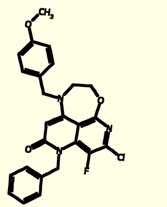 COc1ccc(CN2CCOc3nc(Cl)c(F)c4c3c2cc(=O)n4Cc2ccccc2)cc1